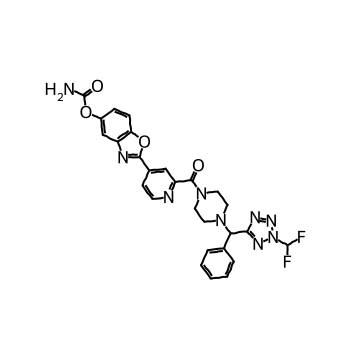 NC(=O)Oc1ccc2oc(-c3ccnc(C(=O)N4CCN(C(c5ccccc5)c5nnn(C(F)F)n5)CC4)c3)nc2c1